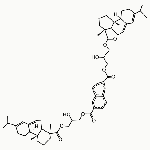 CC(C)C1=CC2=CCC3[C@](C)(C(=O)OCC(O)COC(=O)c4ccc5cc(C(=O)OCC(O)COC(=O)[C@]6(C)CCC[C@@]7(C)C6CC=C6C=C(C(C)C)CC[C@@H]67)ccc5c4)CCC[C@]3(C)[C@H]2CC1